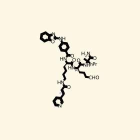 CCCC(C)(NC(=O)[C@@H](CCCC=O)NC(=O)[C@@H](CCCCNC(=O)/C=C/c1cccnc1)NC(=O)c1ccc(Nc2nc3ccccc3o2)cc1)C(N)=O